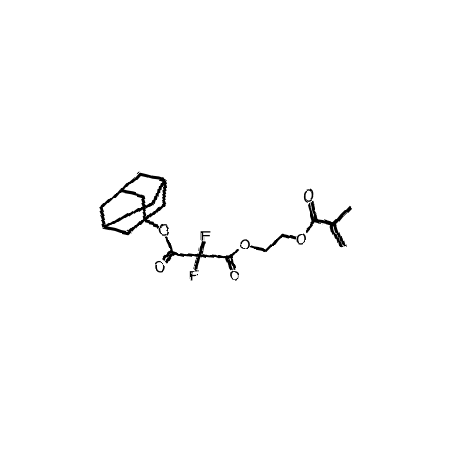 C=C(C)C(=O)OCCOC(=O)C(F)(F)C(=O)OC12CC3CC(CC(C3)C1)C2